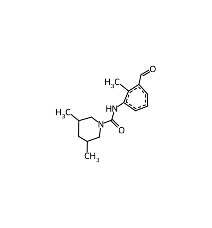 Cc1c(C=O)cccc1NC(=O)N1CC(C)CC(C)C1